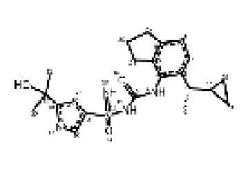 C[C@H](c1ccc2c(c1NC(=O)NS(=N)(=O)c1cnc(C(C)(C)O)s1)CCC2)C1CC1